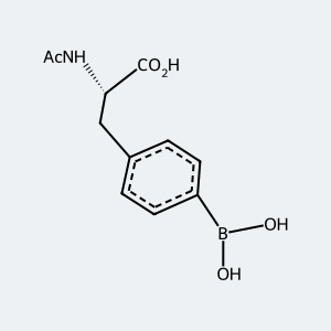 CC(=O)N[C@@H](Cc1ccc(B(O)O)cc1)C(=O)O